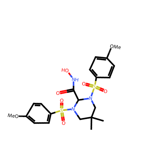 COc1ccc(S(=O)(=O)N2CC(C)(C)CN(S(=O)(=O)c3ccc(OC)cc3)C2C(=O)NO)cc1